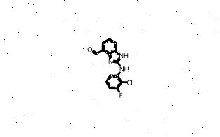 O=Cc1cccc2[nH]c(Nc3cccc(F)c3Cl)nc12